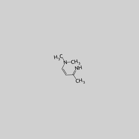 CC(=N)/C=C\N(C)C